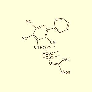 CC(=O)O.CC(=O)O.CC(=O)O.CCCCCCCCCC(=O)OC(C)=O.N#Cc1cc(-c2ccccc2)c(C#N)c(C#N)c1C#N